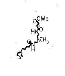 COC(=O)/C=C/C(=O)NCCN(C)CCNC(=O)CCCC[C@@H]1CCSS1